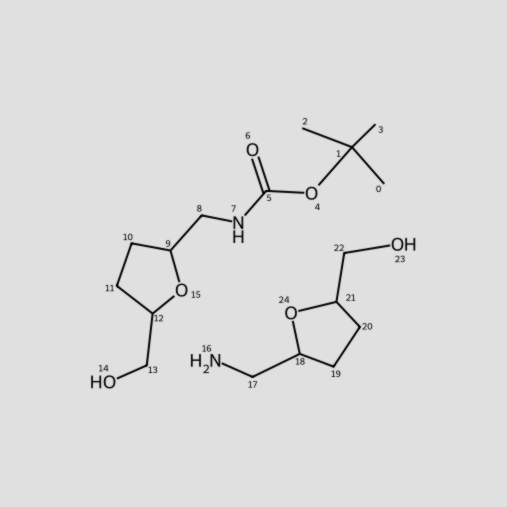 CC(C)(C)OC(=O)NCC1CCC(CO)O1.NCC1CCC(CO)O1